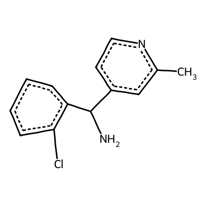 Cc1cc(C(N)c2ccccc2Cl)ccn1